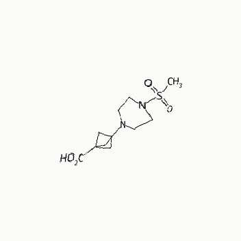 CS(=O)(=O)N1CCN(C23CC(C(=O)O)(C2)C3)CC1